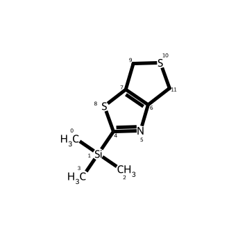 C[Si](C)(C)c1nc2c(s1)CSC2